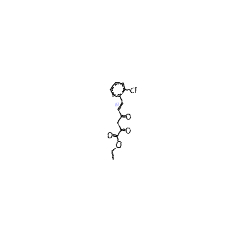 CCOC(=O)C(=O)CC(=O)/C=C/c1ccccc1Cl